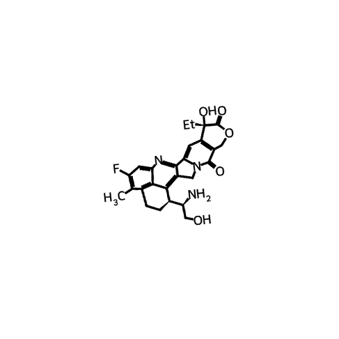 CC[C@@]1(O)C(=O)OCc2c1cc1n(c2=O)Cc2c-1nc1cc(F)c(C)c3c1c2[C@@H]([C@@H](N)CO)CC3